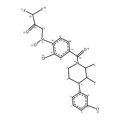 CC1C(C)N(c2cccc(Cl)c2)CCN1C(=O)c1ccc([S+]([O-])CC(=O)C(F)F)c(Cl)c1